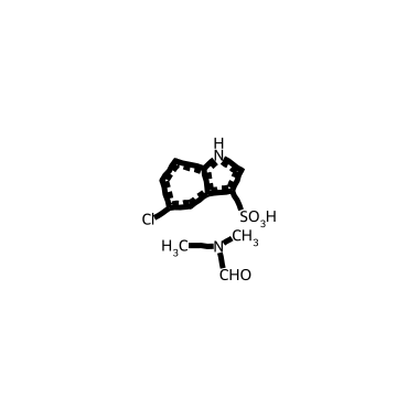 CN(C)C=O.O=S(=O)(O)c1c[nH]c2ccc(Cl)cc12